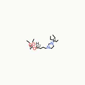 CCO[Si](C)(OCC)O[SiH2]CCCN1CCN([Si](CC)(CC)CC)C1